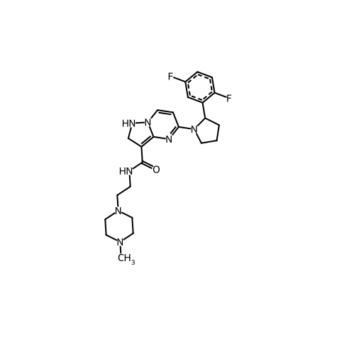 CN1CCN(CCNC(=O)C2=C3N=C(N4CCCC4c4cc(F)ccc4F)C=CN3NC2)CC1